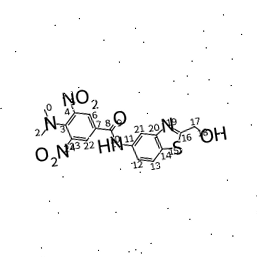 CN(C)c1c([N+](=O)[O-])cc(C(=O)Nc2ccc3sc(CO)nc3c2)cc1[N+](=O)[O-]